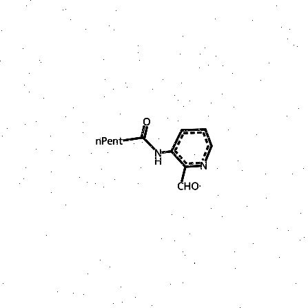 CCCCCC(=O)Nc1cccnc1[C]=O